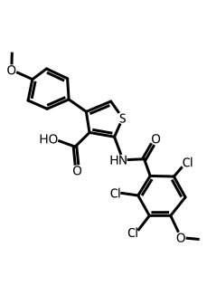 COc1ccc(-c2csc(NC(=O)c3c(Cl)cc(OC)c(Cl)c3Cl)c2C(=O)O)cc1